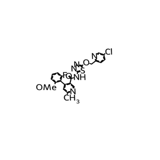 COc1cccc(F)c1-c1cc(C)ncc1C(=O)Nc1nnc(OCc2ccc(Cl)cn2)s1